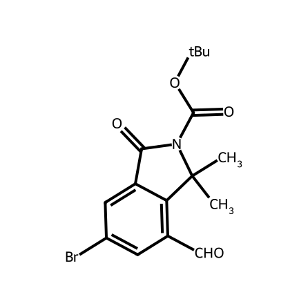 CC(C)(C)OC(=O)N1C(=O)c2cc(Br)cc(C=O)c2C1(C)C